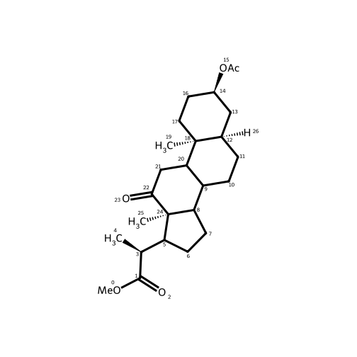 COC(=O)[C@@H](C)C1CCC2C3CC[C@@H]4C[C@H](OC(C)=O)CC[C@]4(C)C3CC(=O)[C@@]21C